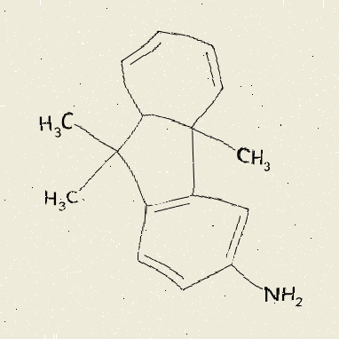 CC1(C)c2ccc(N)cc2C2(C)C=CC=CC12